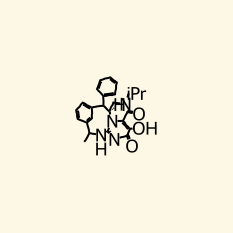 CC1Nc2nc(=O)c(O)c3n2[C@H](CN(C(C)C)C3=O)C(c2ccccc2)c2cccc1c2